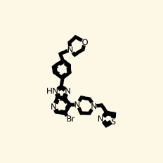 Brc1cnc2[nH]c(-c3ccc(CN4CCOCC4)cc3)nc2c1N1CCN(Cc2cscn2)CC1